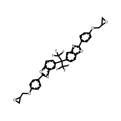 FC(F)(F)C(c1ccc2oc(-c3ccc(OCC4CO4)cc3)nc2c1)(c1ccc2oc(-c3ccc(OCC4CO4)cc3)nc2c1)C(F)(F)F